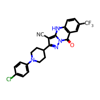 N#Cc1c(C2CCN(c3ccc(Cl)cc3)CC2)nn2c(=O)c3cc(C(F)(F)F)ccc3[nH]c12